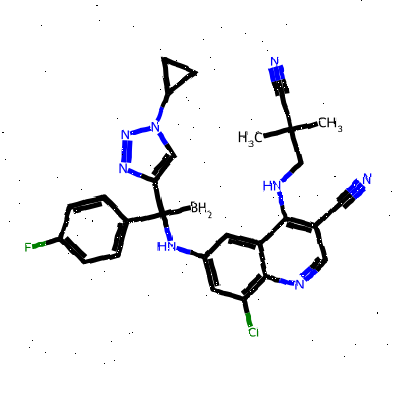 BC(Nc1cc(Cl)c2ncc(C#N)c(NCC(C)(C)C#N)c2c1)(c1ccc(F)cc1)c1cn(C2CC2)nn1